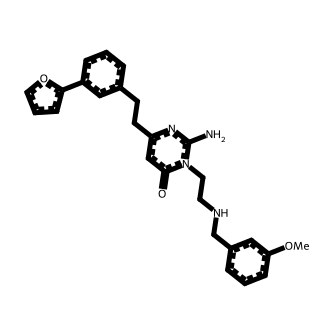 COc1cccc(CNCCn2c(N)nc(CCc3cccc(-c4ccco4)c3)cc2=O)c1